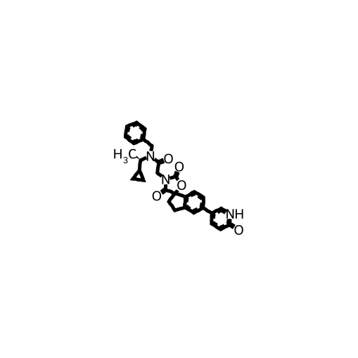 C[C@@H](C1CC1)N(Cc1ccccc1)C(=O)CN1C(=O)OC2(CCc3cc(-c4ccc(=O)[nH]c4)ccc32)C1=O